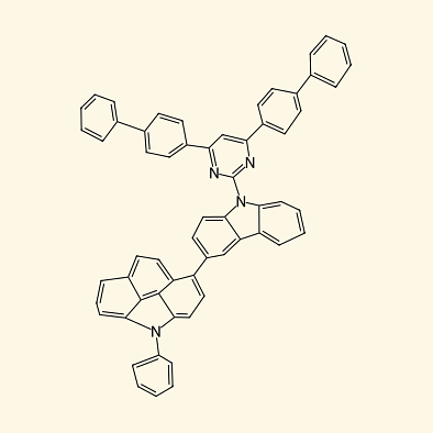 c1ccc(-c2ccc(-c3cc(-c4ccc(-c5ccccc5)cc4)nc(-n4c5ccccc5c5cc(-c6ccc7c8c6ccc6cccc(c68)n7-c6ccccc6)ccc54)n3)cc2)cc1